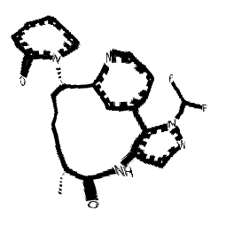 C[C@@H]1CCC[C@H](n2cc[c]cc2=O)c2cc(ccn2)-c2c(cnn2C(F)F)NC1=O